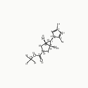 Cc1nc(I)cn1[C@H]1[C@@H]2CN(C(=O)OC(C)(C)C)C[C@@H]21